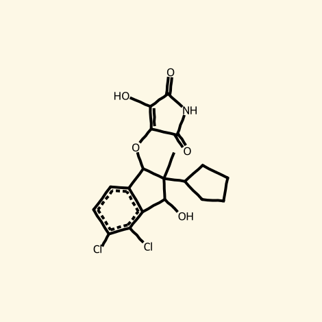 CC1(C2CCCC2)C(O)c2c(ccc(Cl)c2Cl)C1OC1=C(O)C(=O)NC1=O